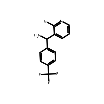 NC(c1ccc(C(F)(F)F)cc1)c1cccnc1Br